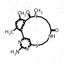 Cc1cc(C)c2cc1C(=O)N(C)CCCC(=O)NCCSc1cc-2nc(N)n1